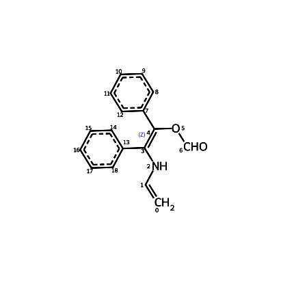 C=CN/C(=C(\OC=O)c1ccccc1)c1ccccc1